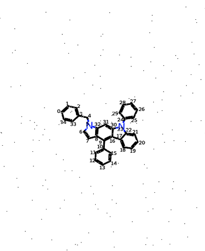 c1ccc(Cn2ccc3c(-c4ccccc4)c4c5ccccc5n(-c5ccccc5)c4cc32)cc1